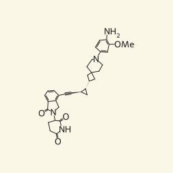 COc1cc(N2CCC3(CC2)CC([C@@H]2C[C@H]2C#Cc2cccc4c2CN(C2CCC(=O)NC2=O)C4=O)C3)ccc1N